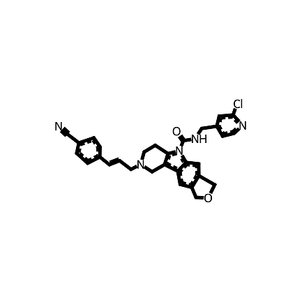 N#Cc1ccc(C=CCN2CCc3c(c4cc5c(cc4n3C(=O)NCc3ccnc(Cl)c3)COC5)C2)cc1